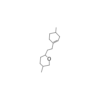 CC1CC=C(CCC2CCC(C)CO2)CC1